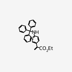 C=C(C(=O)OCC)c1ccc(NC(c2ccccc2)(c2ccccc2)c2ccccc2)nc1